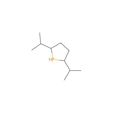 CC(C)C1CCC(C(C)C)P1